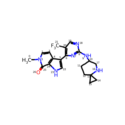 Cn1ccc2c(-c3nc(NC4CCC5(CC5)NC4)ncc3C(F)(F)F)c[nH]c2c1=O